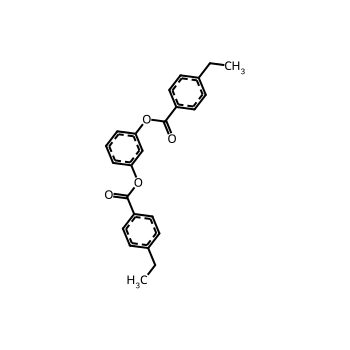 CCc1ccc(C(=O)Oc2cccc(OC(=O)c3ccc(CC)cc3)c2)cc1